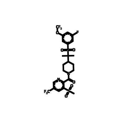 CC(C)(C1CCN(C(=O)c2ncc(C(F)(F)F)cc2S(C)(=O)=O)CC1)S(=O)(=O)c1cc(F)cc(OC(F)(F)F)c1